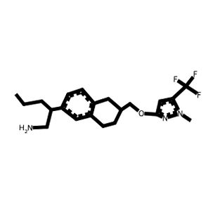 CCCC(CN)c1ccc2c(c1)CCC(COc1cc(C(F)(F)F)n(C)n1)C2